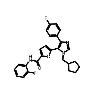 O=C(Nc1ccccc1F)c1ccc(-c2c(-c3ccc(F)cc3)ncn2CC2CCCC2)o1